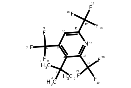 CC(C)(C)c1c(C(F)(F)F)cc(C(F)(F)F)nc1C(F)(F)F